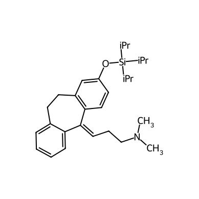 CC(C)[Si](Oc1ccc2c(c1)CCc1ccccc1/C2=C/CCN(C)C)(C(C)C)C(C)C